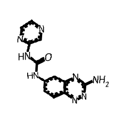 Nc1nnc2ccc(NC(=O)Nc3cnccn3)cc2n1